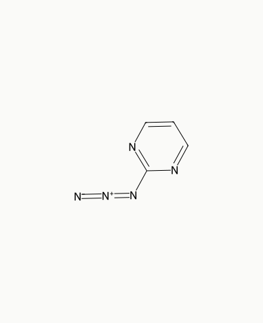 [N-]=[N+]=Nc1ncccn1